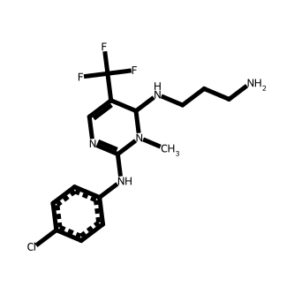 CN1C(Nc2ccc(Cl)cc2)=NC=C(C(F)(F)F)C1NCCCN